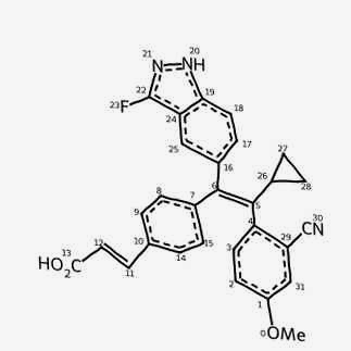 COc1ccc(/C(=C(\c2ccc(/C=C/C(=O)O)cc2)c2ccc3[nH]nc(F)c3c2)C2CC2)c(C#N)c1